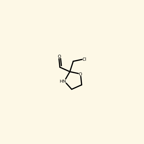 O=CC1(CCl)NCCO1